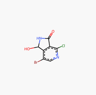 O=C1NC(O)c2c(Br)cnc(Cl)c21